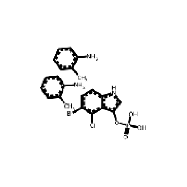 Cc1ccccc1N.Cc1ccccc1N.O=P(O)(O)Oc1c[nH]c2ccc(Br)c(Cl)c12